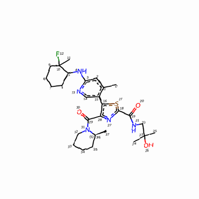 Cc1cc(NC2CCCCC2(C)F)ncc1-c1sc(C(=O)NCC(C)(C)O)nc1C(=O)N1CCCC[C@@H]1C